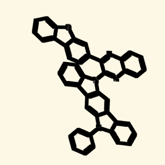 c1ccc(-n2c3ccccc3c3cc4c(cc32)c2ccccc2n4-c2nc3ccccc3nc2-c2ccc3c(c2)oc2ccccc23)cc1